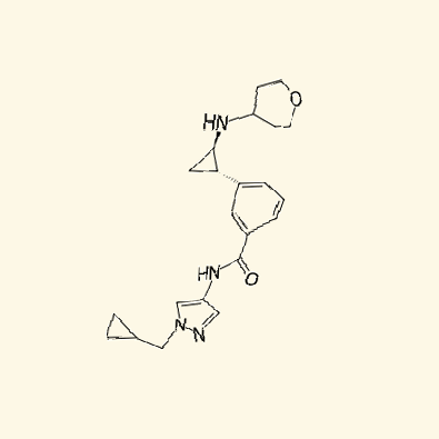 O=C(Nc1cnn(CC2CC2)c1)c1cccc([C@@H]2C[C@H]2NC2CCOCC2)c1